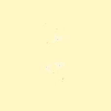 Cc1cc2nc(SCC(=O)NC34CC5CC(CC(C5)C3)C4)[nH]c2cc1C